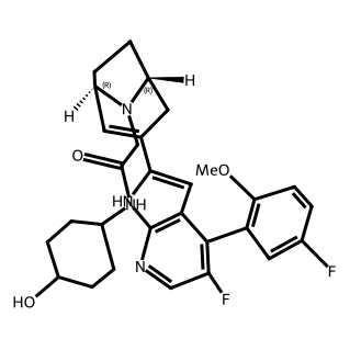 COc1ccc(F)cc1-c1c(F)cnc2[nH]c(C3=C[C@H]4CC[C@H](C3)N4CC(=O)NC3CCC(O)CC3)cc12